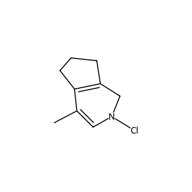 CC1=CN(Cl)CC2=C1CCC2